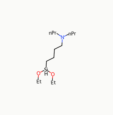 CCCN(CCC)CCCC[SiH](OCC)OCC